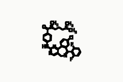 CN(C)CCCN(C)C(=O)c1ccc(Nc2ncc3c(n2)-c2ccc(Cl)cc2C(c2c(F)cccc2F)=NC3)cc1